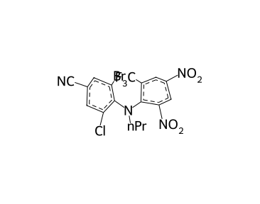 CCCN(c1c(Cl)cc(C#N)cc1Br)c1c([N+](=O)[O-])cc([N+](=O)[O-])cc1C(F)(F)F